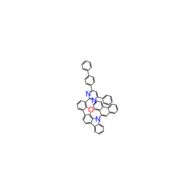 c1ccc(-c2ccc(-c3cc(-c4ccccc4)nc(-c4cccc5c4oc4c5ccc5c6ccccc6n(-c6cc7ccccc7c7ccccc67)c54)n3)cc2)cc1